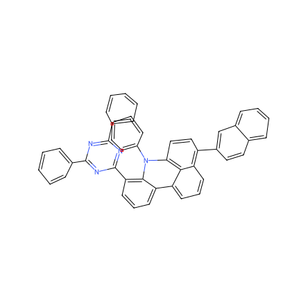 c1ccc(-c2nc(-c3ccccc3)nc(-c3cccc4c3N(c3ccccc3)c3ccc(-c5ccc6ccccc6c5)c5cccc-4c35)n2)cc1